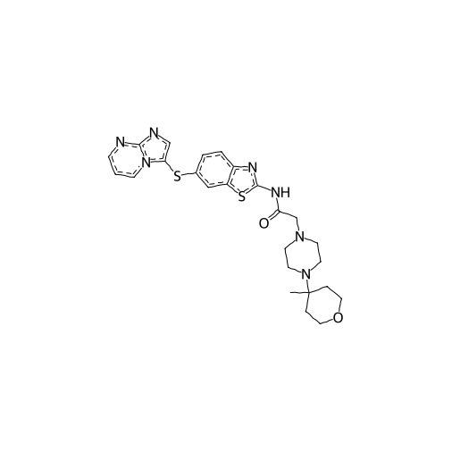 CC1(N2CCN(CC(=O)Nc3nc4ccc(Sc5cnc6ncccn56)cc4s3)CC2)CCOCC1